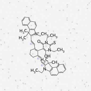 CCN1/C(=C/C=C2\CCCC(/C=C/C3=[N+](CC)c4ccc5ccccc5c4C3(C)C)=C2c2c(O)n(CC)c(=S)n(CC)c2=O)C(C)(C)c2c1ccc1ccccc21